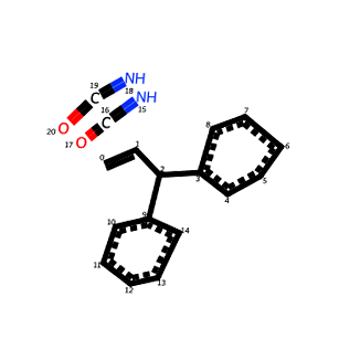 C=CC(c1ccccc1)c1ccccc1.N=C=O.N=C=O